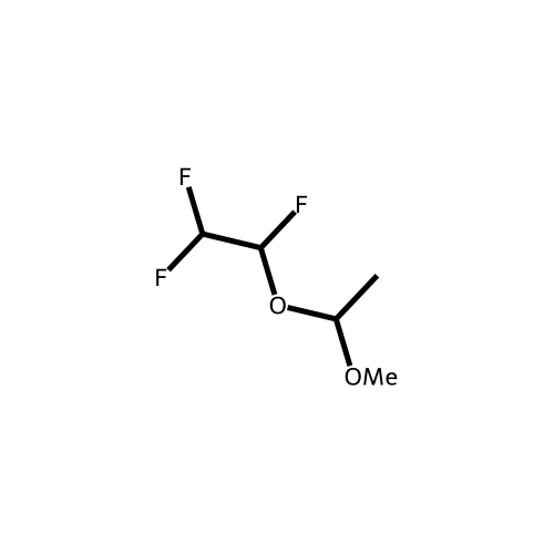 COC(C)OC(F)C(F)F